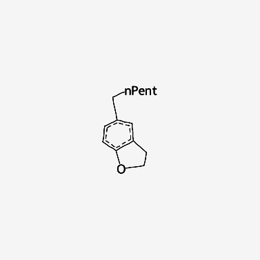 CCCCCCc1ccc2c(c1)CCO2